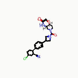 N#Cc1cc(Cl)ccc1-c1ccc(C2CN(C(=O)N3CC[C@@H]4OCC(=O)N[C@@H]4C3)C2)cc1